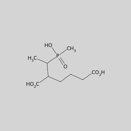 CC(C(CCCC(=O)O)C(=O)O)P(C)(=O)O